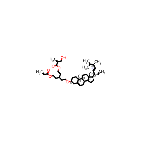 C=CC(=O)OCCC(CCOC(=O)C(=C)CO)CCO[C@H]1CC[C@@]2(C)C(=CCC3C2CC[C@@]2(C)C3CC[C@@H]2[C@H](C=C)/C=C/[C@H](C)C(C)C)C1